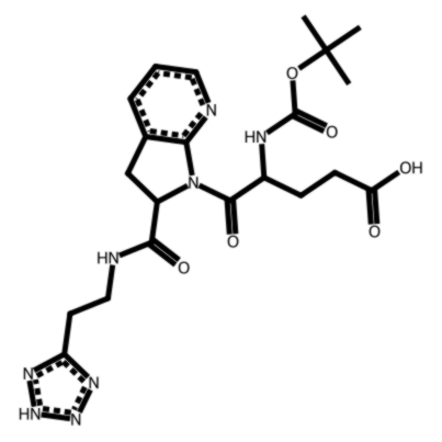 CC(C)(C)OC(=O)NC(CCC(=O)O)C(=O)N1c2ncccc2CC1C(=O)NCCc1nn[nH]n1